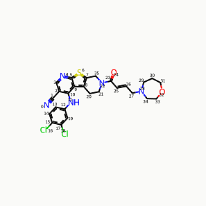 N#Cc1cnc2sc3c(c2c1Nc1ccc(Cl)c(Cl)c1)CCN(C(=O)C=CCN1CCCOCC1)C3